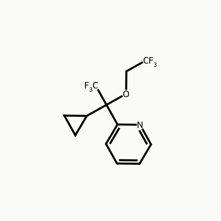 FC(F)(F)COC(c1ccccn1)(C1CC1)C(F)(F)F